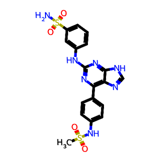 CS(=O)(=O)Nc1ccc(-c2nc(Nc3cccc(S(N)(=O)=O)c3)nc3[nH]cnc23)cc1